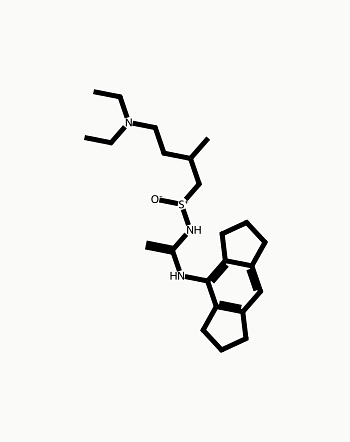 C=C(Nc1c2c(cc3c1CCC3)CCC2)N[S+]([O-])CC(C)CCN(CC)CC